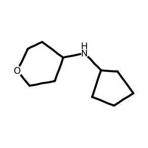 C1CCC(NC2CCOCC2)C1